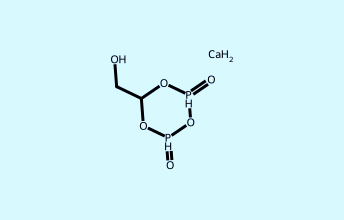 O=[PH]1OC(CO)O[PH](=O)O1.[CaH2]